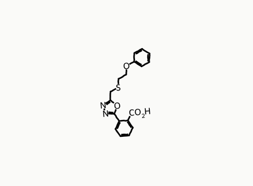 O=C(O)c1ccccc1-c1nnc(CSCCOc2ccccc2)o1